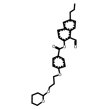 CCCc1ccc2c(C=O)c(OC(=O)c3ccc(OCCCOC4CCCCO4)cc3)ccc2c1